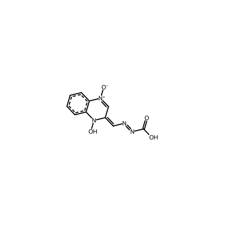 O=C(O)/N=N/C=C1\C=[N+]([O-])c2ccccc2N1O